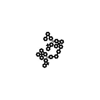 CC1(C)c2ccccc2-c2ccc(N(c3ccc(-c4cccc(-c5ccc(-c6cccc(C7(c8ccccc8)c8ccccc8-c8ccc(N(c9ccc(-c%10ccccc%10-c%10ccccc%10)cc9)c9ccc%10c(c9)C(C)(C)c9ccccc9-%10)cc87)c6)cc5)c4)cc3)c3ccc4c(c3)C(c3ccccc3)(c3ccccc3)c3ccccc3-4)cc21